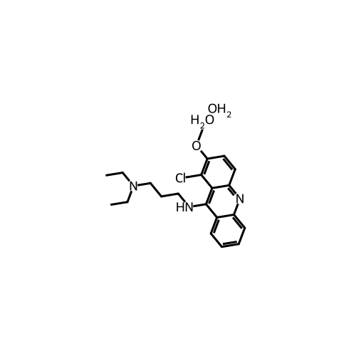 CCN(CC)CCCNc1c2ccccc2nc2ccc(OC)c(Cl)c12.O.O